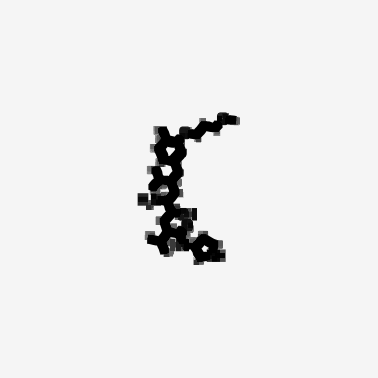 COCCCOc1cc(CC(CC(N)C(O)CC(C(=O)N[C@H]2CCNC2)C(C)C)C(C)C)ccc1C